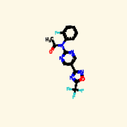 CC(=O)N(c1ncc(-c2noc(C(F)(F)F)n2)cn1)c1ccccc1F